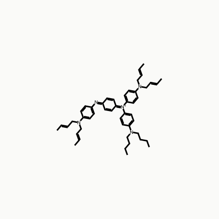 C/C=C/CN(C/C=C/C)c1ccc(N=C2C=CC(=[N+](c3ccc(N(C/C=C/C)C/C=C/C)cc3)c3ccc(N(CCCC)CCCC)cc3)C=C2)cc1